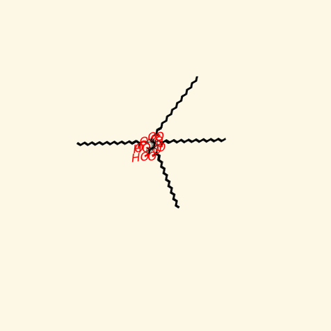 CCCCCCCCCCCCCCCC=CC(=O)OC[C@H](OC(=O)C=CCCCCCCCCCCCCCCC)[C@@H](OC(=O)C=CCCCCCCCCCCCCCCC)[C@H](OC(=O)C=CCCCCCCCCCCCCCCC)[C@H](O)CO